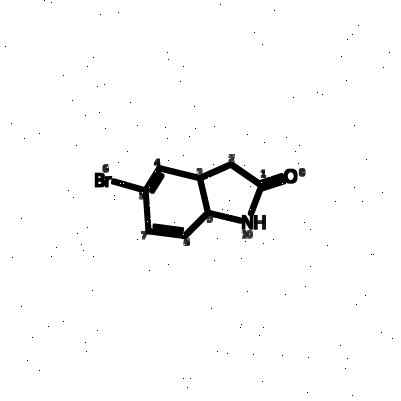 O=C1CC2C=C(Br)C=CC2N1